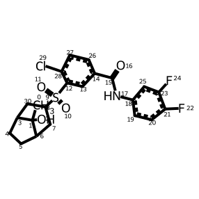 CC1(O)C2CCC1CC(S(=O)(=O)c1cc(C(=O)Nc3ccc(F)c(F)c3)ccc1Cl)C2